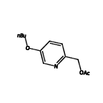 CCCCOc1ccc(COC(C)=O)nc1